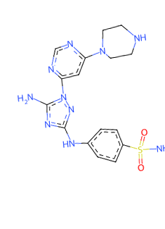 Nc1nc(Nc2ccc(S(N)(=O)=O)cc2)nn1-c1cc(N2CCNCC2)ncn1